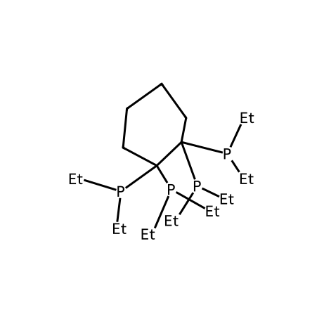 CCP(CC)C1(P(CC)CC)CCCCC1(P(CC)CC)P(CC)CC